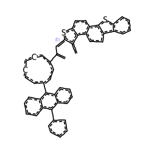 C=C(/C=c1/sc2ccc3c(ccc4c5ccccc5sc43)c2c1=C)c1ccccccc(-c2c3ccccc3c(-c3ccccc3)c3ccccc23)cc1